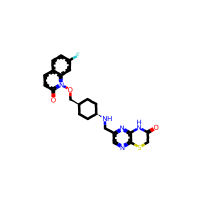 O=C1CSc2ncc(CN[C@H]3CC[C@H](COn4c(=O)ccc5ccc(F)cc54)CC3)nc2N1